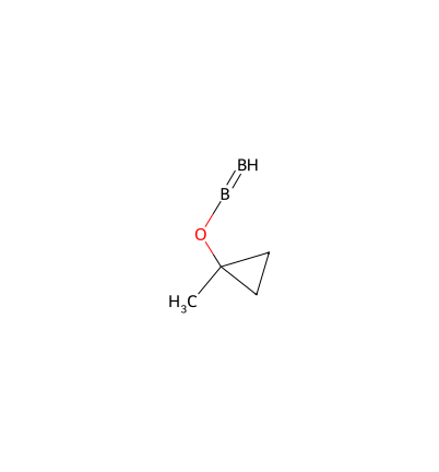 B=BOC1(C)CC1